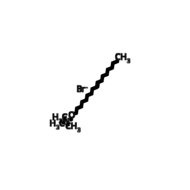 CCCCCCCCC=CCCCCCCCCOC[N+](C)(C)C.[Br-]